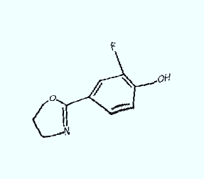 Oc1ccc(C2=NCCO2)cc1F